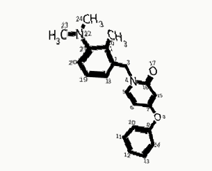 Cc1c(Cn2ccc(Oc3ccccc3)cc2=O)cccc1N(C)C